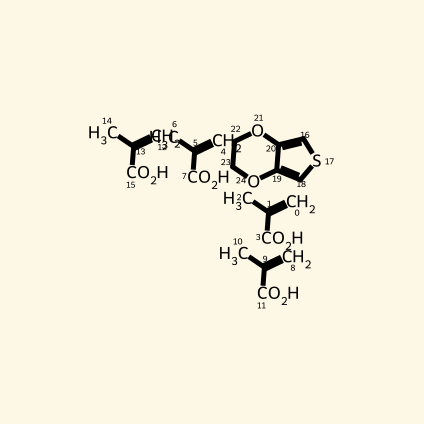 C=C(C)C(=O)O.C=C(C)C(=O)O.C=C(C)C(=O)O.C=C(C)C(=O)O.c1scc2c1OCCO2